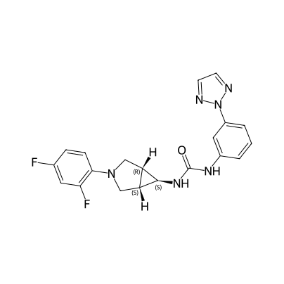 O=C(Nc1cccc(-n2nccn2)c1)N[C@H]1[C@@H]2CN(c3ccc(F)cc3F)C[C@@H]21